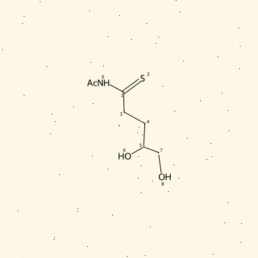 CC(=O)NC(=S)CCC(O)CO